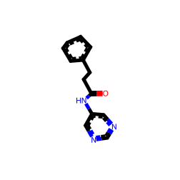 O=C(CCc1ccccc1)Nc1cncnc1